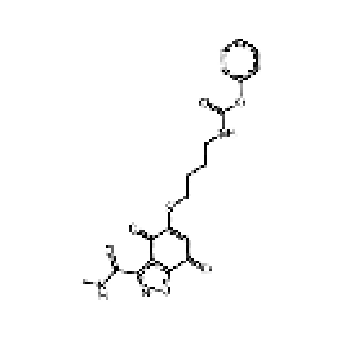 CNC(=O)c1noc2c1C(=O)C(SCCCCNC(=O)Oc1ccccc1)=CC2=O